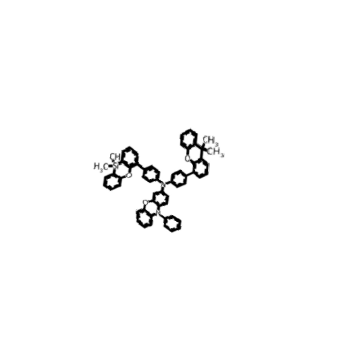 CC1(C)c2ccccc2Oc2c(-c3ccc(N(c4ccc(-c5cccc6c5Oc5ccccc5[Si]6(C)C)cc4)c4ccc5c(c4)Oc4ccccc4N5c4ccccc4)cc3)cccc21